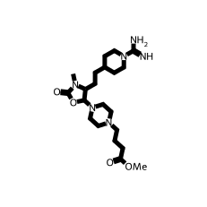 COC(=O)CCCN1CCN(C2OC(=O)N(C)C2CCC2CCN(C(=N)N)CC2)CC1